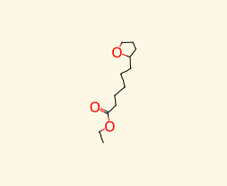 CCOC(=O)CCCCCC1CCCO1